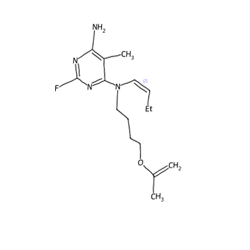 C=C(C)OCCCCN(/C=C\CC)c1nc(F)nc(N)c1C